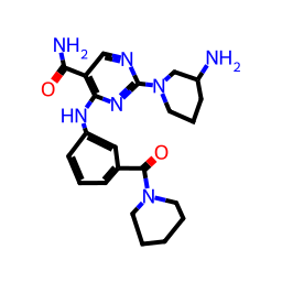 NC(=O)c1cnc(N2CCCC(N)C2)nc1Nc1cccc(C(=O)N2CCCCC2)c1